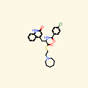 O=C(NC(Cc1cc(=O)[nH]c2ccccc12)C(=O)SCCN1CCCCCC1)c1ccc(Cl)cc1